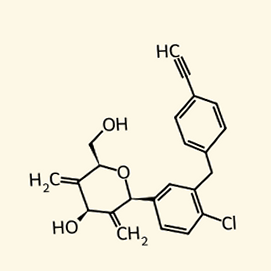 C#Cc1ccc(Cc2cc([C@@H]3O[C@H](CO)C(=C)[C@H](O)C3=C)ccc2Cl)cc1